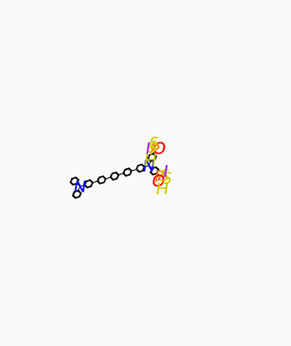 O=P(c1ccc(N(c2ccc(-c3ccc(-c4ccc(-c5ccc(-c6ccc(N(c7ccccc7)c7ccccc7)cc6)cc5)cc4)cc3)cc2)c2ccc(P(=O)=[SH](=S)I)cc2)cc1)=[SH](=S)I